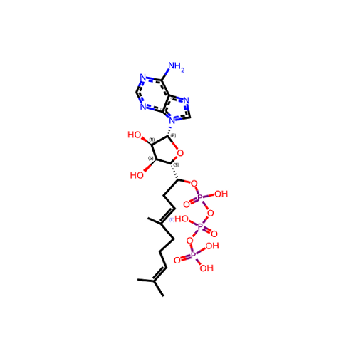 CC(C)=CCC/C(C)=C/CC(OP(=O)(O)OP(=O)(O)OP(=O)(O)O)[C@H]1O[C@@H](n2cnc3c(N)ncnc32)[C@H](O)[C@@H]1O